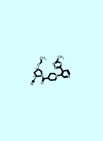 CCO[C@H]1C[C@H](C#N)N(C(=O)C2CCN(c3cnccc3-c3nnc(C)s3)CC2)C1